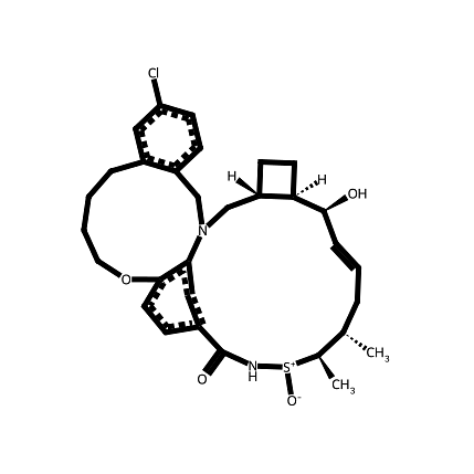 C[C@@H]1[C@@H](C)C/C=C/[C@H](O)[C@@H]2CC[C@H]2CN2Cc3ccc(Cl)cc3CCCCOc3ccc(cc32)C(=O)N[S+]1[O-]